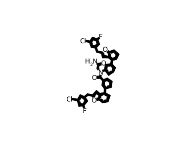 NC(=O)CN(C(=O)c1cccc(-c2cccc3oc(Cc4cc(F)cc(Cl)c4)cc23)c1)c1cccc(-c2cccc3oc(Cc4cc(F)cc(Cl)c4)cc23)c1